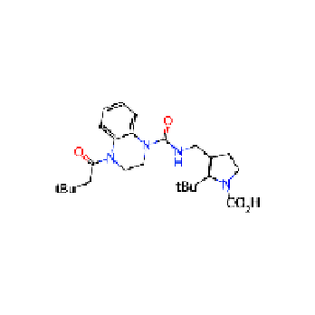 CC(C)(C)CC(=O)N1CCN(C(=O)NCC2CCN(C(=O)O)C2C(C)(C)C)c2ccccc21